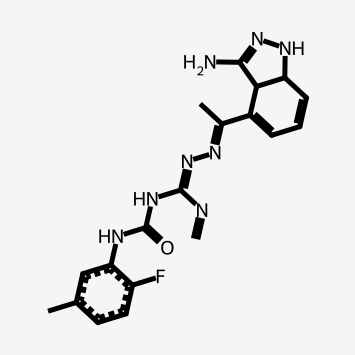 C=N/C(=N\N=C(/C)C1=CC=CC2NN=C(N)C12)NC(=O)Nc1cc(C)ccc1F